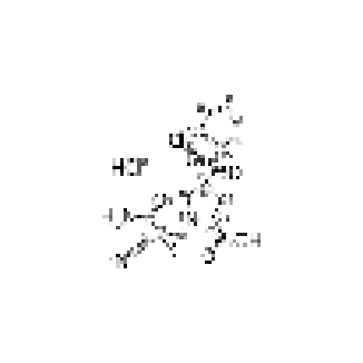 Cl.N#CC1(C(N)=O)CC1N1C[C@H](S(=O)(=O)c2ccccc2Cl)C[C@H]1C(=O)O